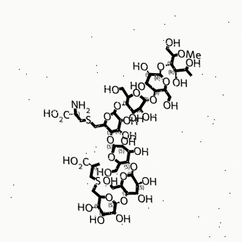 COC(CO)[C@@H](O[C@H]1OC(CO)[C@@H](O[C@H]2OC(CO)[C@@H](OC3OC(CSC[C@@H](N)C(=O)O)[C@@H](O[C@@H]4OC(CO)[C@@H](O[C@@H]5OC(CO)[C@@H](O[C@H]6OC(CSC[C@@H](C)C(=O)O)[C@@H](O)[C@H](O)C6O)C(O)[C@@H]5O)C(O)[C@@H]4O)[C@H](O)C3O)C(O)[C@@H]2O)C(O)[C@@H]1O)[C@H](O)C(C)O